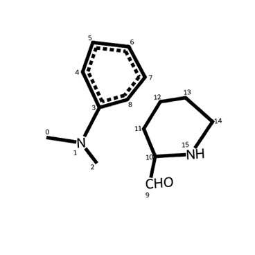 CN(C)c1ccccc1.O=CC1CCCCN1